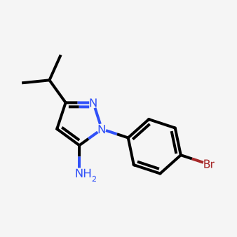 CC(C)c1cc(N)n(-c2ccc(Br)cc2)n1